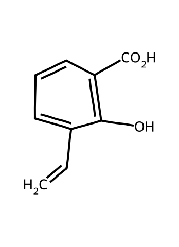 C=Cc1cccc(C(=O)O)c1O